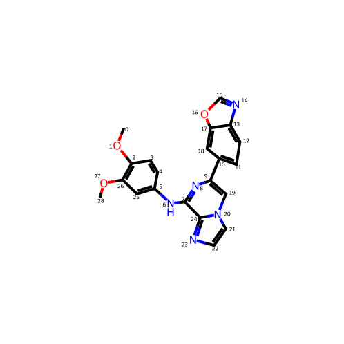 COc1ccc(Nc2nc(-c3ccc4ncoc4c3)cn3ccnc23)cc1OC